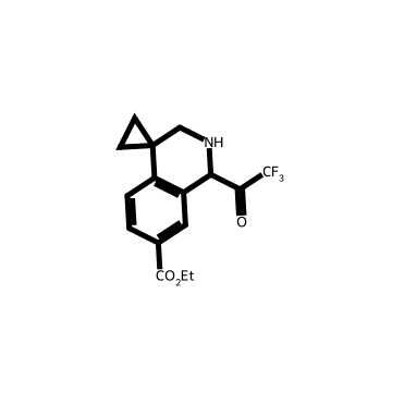 CCOC(=O)c1ccc2c(c1)C(C(=O)C(F)(F)F)NCC21CC1